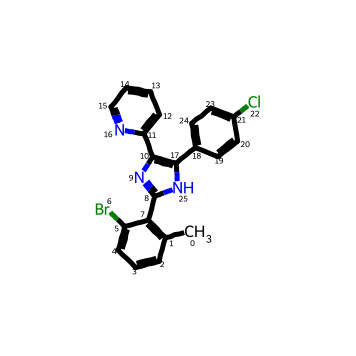 Cc1cccc(Br)c1-c1nc(-c2ccccn2)c(-c2ccc(Cl)cc2)[nH]1